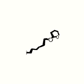 I/C=C/CC/C=C/OC1CCCCO1